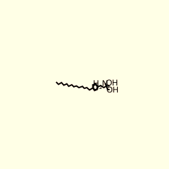 CCCCCCCCCCCCCCc1ccc(CCC(N)(CO)CO)cc1